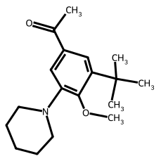 COc1c(N2CCCCC2)cc(C(C)=O)cc1C(C)(C)C